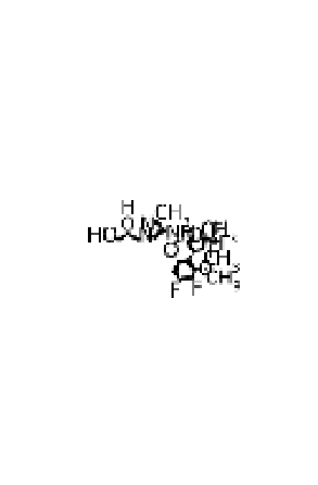 COc1c([C@H]2[C@H](C(=O)Nc3cn(C[C@H](O)CO)nc3C)O[C@@](C)(C(F)(F)F)[C@H]2C)ccc(F)c1F